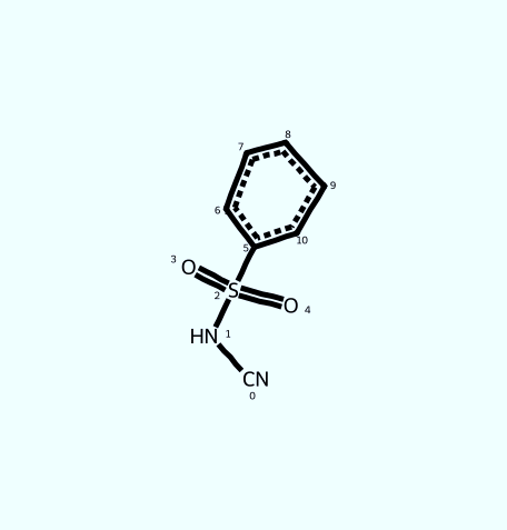 N#CNS(=O)(=O)c1[c]cccc1